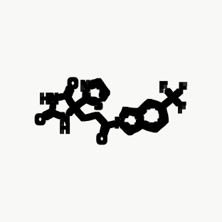 O=C1NC(=O)C(CCC(=O)n2cc3ccc(C(F)(F)F)cc3c2)(c2nccs2)N1